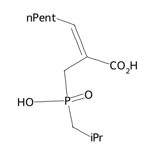 CCCCC/C=C(\CP(=O)(O)CC(C)C)C(=O)O